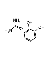 NC(N)=O.Oc1ccccc1O